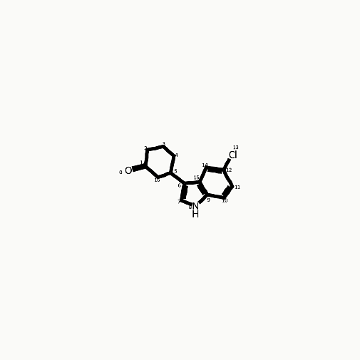 O=C1CCCC(c2c[nH]c3ccc(Cl)cc23)C1